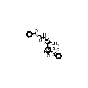 Cc1nc(NC(=O)CNC(=O)c2ccccc2)sc1-c1cnc(Cl)c(N[SH](C)(=O)c2ccccc2)c1